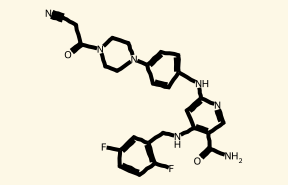 N#CCC(=O)N1CCN(c2ccc(Nc3cc(NCc4cc(F)ccc4F)c(C(N)=O)cn3)cc2)CC1